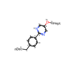 CCCCCCCCCCCc1ccc(-c2ncc(OCCCCCCC)cn2)cc1